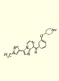 Cn1cc(-c2cnc3c(Nc4cccc(OC5CCNCC5)c4)nccn23)cn1